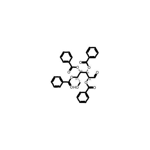 O=C[C@@H](OC(=O)c1ccccc1)[C@@H](OC(=O)c1ccccc1)[C@@H](OC(=O)c1ccccc1)[C@H](CO)OC(=O)c1ccccc1